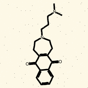 CN(C)CCCN1CCC2=C(CC1)C(=O)c1ccccc1C2=O